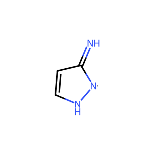 N=C1C=CN[N]1